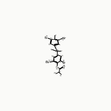 Cc1c(Br)cc(C(C)(C)c2cc(Br)c(OC(=O)C(C)C)c(Br)c2)cc1Br